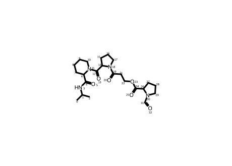 CC(C)NC(=O)C1CCCCN1C(=O)C1CCCN1C(=O)CCOC(=O)C1CCCN1C=O